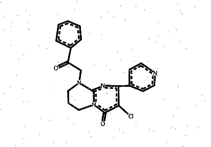 O=C(CN1CCCn2c1nc(-c1ccncc1)c(Cl)c2=O)c1ccccc1